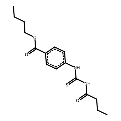 CCCCOC(=O)c1ccc(NC(=S)NC(=O)CCC)cc1